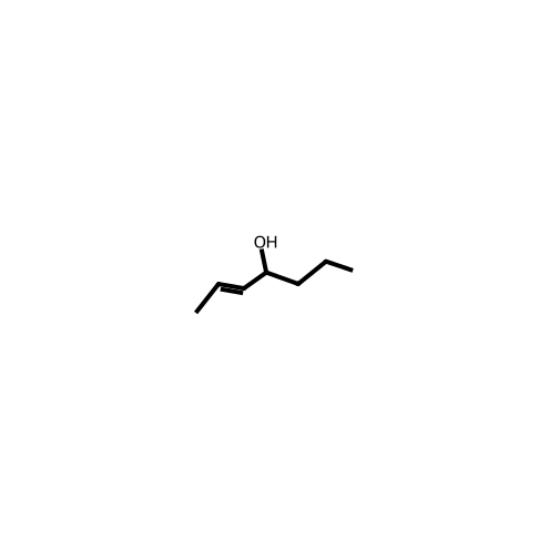 CC=CC(O)CCC